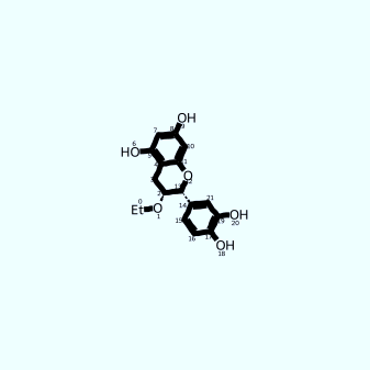 CCO[C@@H]1Cc2c(O)cc(O)cc2O[C@@H]1c1ccc(O)c(O)c1